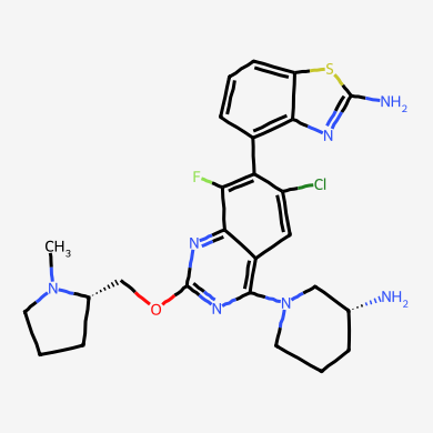 CN1CCC[C@H]1COc1nc(N2CCC[C@@H](N)C2)c2cc(Cl)c(-c3cccc4sc(N)nc34)c(F)c2n1